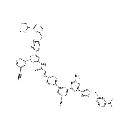 CCC(OC)c1cccc(Cn2cc(-c3cc(-c4cccc(C#N)c4)nc(NC(=O)COc4ccc(-c5cc(C#N)cc(-c6cc(-c7cn(Cc8cccc(C(C)C)n8)nn7)nc(N)n6)c5)cc4)n3)nn2)n1